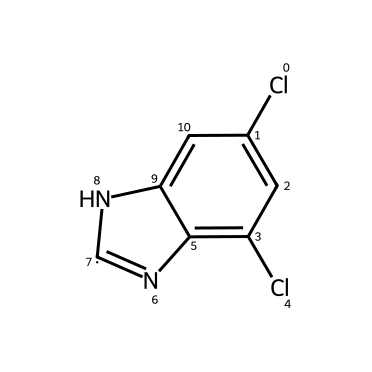 Clc1cc(Cl)c2n[c][nH]c2c1